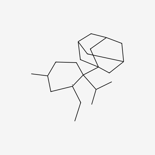 CC[C]1CC(C)CCC1(C(C)C)C12CC3CC(CC(C3)C1)C2